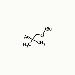 CC(=O)C(C)(C)COC(C)(C)C